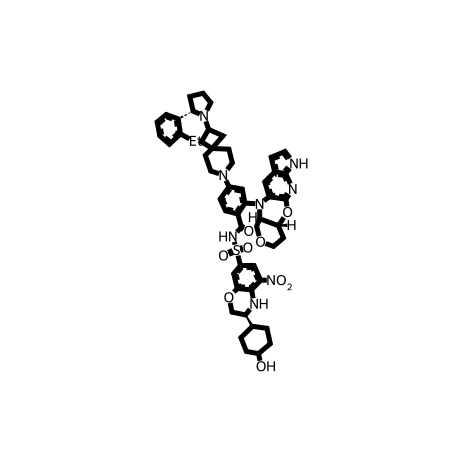 CCc1ccccc1[C@@H]1CCCN1C1CC2(CCN(c3ccc(C(=O)NS(=O)(=O)c4cc5c(c([N+](=O)[O-])c4)N[C@@H](C4CCC(O)CC4)CO5)c(N4c5cc6cc[nH]c6nc5O[C@@H]5CCOC[C@@H]54)c3)CC2)C1